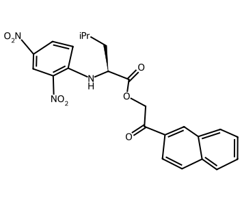 CC(C)C[C@H](Nc1ccc([N+](=O)[O-])cc1[N+](=O)[O-])C(=O)OCC(=O)c1ccc2ccccc2c1